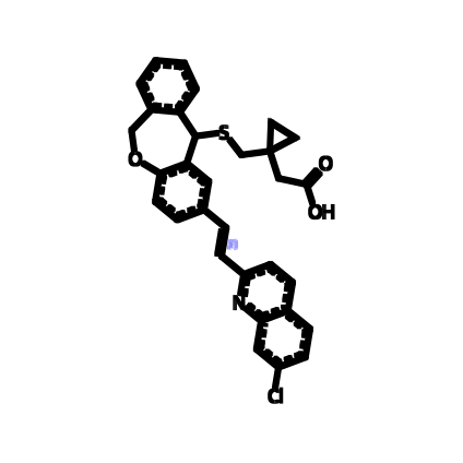 O=C(O)CC1(CSC2c3ccccc3COc3ccc(/C=C/c4ccc5ccc(Cl)cc5n4)cc32)CC1